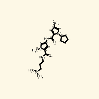 CN(C)CCCNC(=O)c1cc(NC(=O)c2cc([N+](=O)[O-])cn2C2CCCC2)cn1C